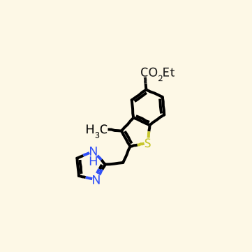 CCOC(=O)c1ccc2sc(Cc3ncc[nH]3)c(C)c2c1